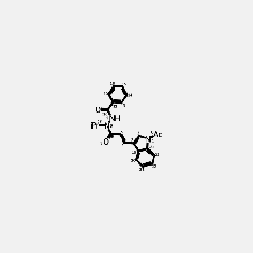 CC(=O)n1cc(/C=C/C(=O)N(NC(=O)c2ccccc2)C(C)C)c2ccccc21